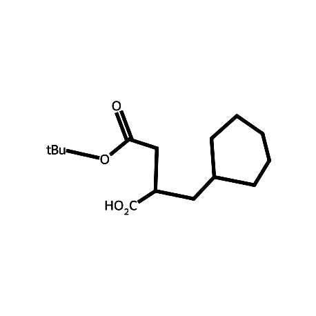 CC(C)(C)OC(=O)CC(CC1CCCCC1)C(=O)O